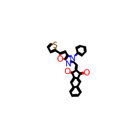 O=C1C(=Cc2nc3oc(-c4cccs4)cc3n2-c2ccccc2)C(=O)c2cc3ccccc3cc21